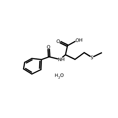 CSCCC(NC(=O)c1ccccc1)C(=O)O.O